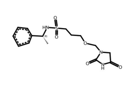 C[C@@H](NS(=O)(=O)CCCOCN1CC(=O)NC1=O)c1ccccc1